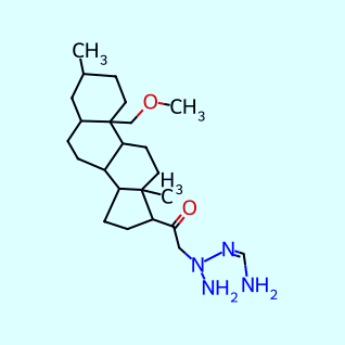 COCC12CCC(C)CC1CCC1C3CCC(C(=O)CN(N)/N=C\N)C3(C)CCC12